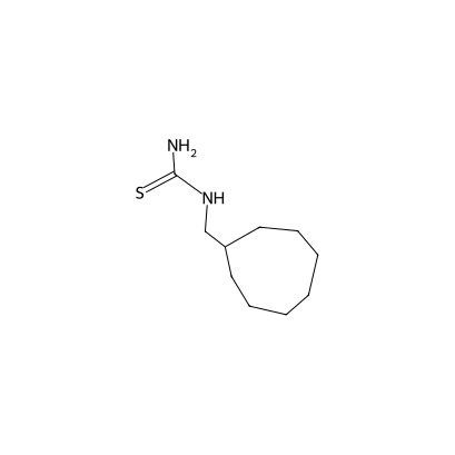 NC(=S)NCC1CCCCCCC1